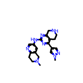 CN1CCc2ncc(Nc3nc4c(c(-c5cnn(C)c5)n3)CCNC4)cc2C1